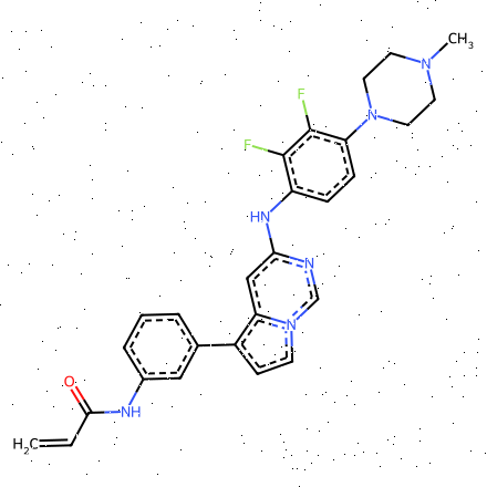 C=CC(=O)Nc1cccc(-c2ccn3cnc(Nc4ccc(N5CCN(C)CC5)c(F)c4F)cc23)c1